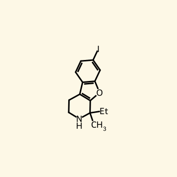 CCC1(C)NCCc2c1oc1cc(I)ccc21